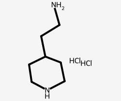 Cl.Cl.NCCC1CCNCC1